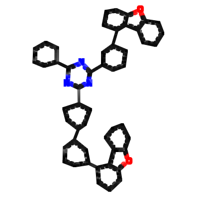 c1ccc(-c2nc(-c3ccc(-c4cccc(-c5cccc6oc7ccccc7c56)c4)cc3)nc(-c3cccc(-c4cccc5oc6ccccc6c45)c3)n2)cc1